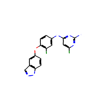 Nc1nc(Cl)cc(Nc2ccc(Oc3ccc4[nH]ncc4c3)c(F)c2)n1